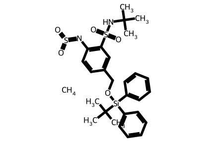 C.CC(C)(C)NS(=O)(=O)c1cc(CO[Si](c2ccccc2)(c2ccccc2)C(C)(C)C)ccc1N=S(=O)=O